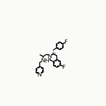 CC(CN1Cc2ccc(F)cc2C[C@H]1Cc1ccc(F)cc1)NCc1ccncc1